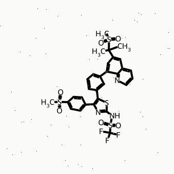 CC(C)(c1cc(-c2cccc(-c3sc(NS(=O)(=O)C(F)(F)F)nc3-c3ccc(S(C)(=O)=O)cc3)c2)c2ncccc2c1)S(C)(=O)=O